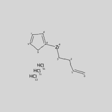 C=CC[CH2][Zr][C]1=CC=CC1.Cl.Cl.Cl